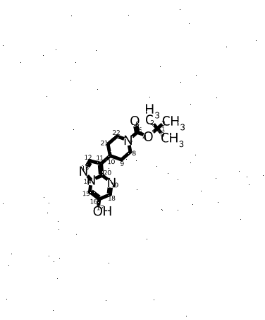 CC(C)(C)OC(=O)N1CCC(c2cnn3cc(O)cnc23)CC1